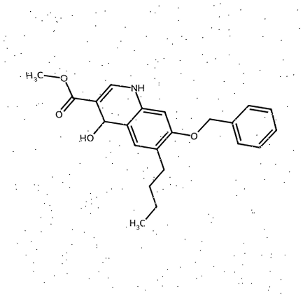 CCCCc1cc2c(cc1OCc1ccccc1)NC=C(C(=O)OC)C2O